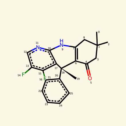 CC1(C)CC(=O)C2=C(C1)Nc1ncc(F)c(F)c1[C@@]2(C)c1ccccc1